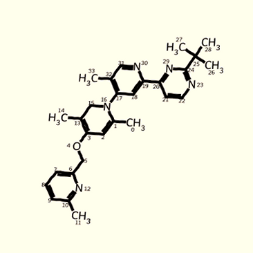 CC1=CC(OCc2cccc(C)n2)=C(C)CN1c1cc(-c2ccnc(C(C)(C)C)n2)ncc1C